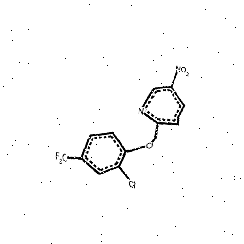 O=[N+]([O-])c1ccc(Oc2ccc(C(F)(F)F)cc2Cl)nc1